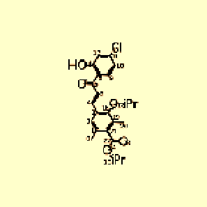 Cc1cc(/C=C/C(=O)c2ccc(Cl)cc2O)c(OC(C)C)c(C)c1C(=O)OC(C)C